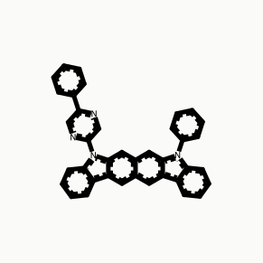 c1ccc(-c2cnc(-n3c4ccccc4c4cc5cc6c7ccccc7n(-c7ccccc7)c6cc5cc43)cn2)cc1